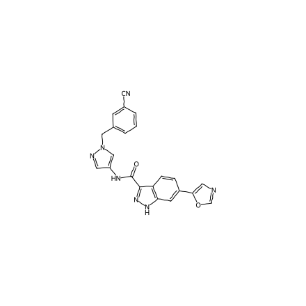 N#Cc1cccc(Cn2cc(NC(=O)c3n[nH]c4cc(-c5cnco5)ccc34)cn2)c1